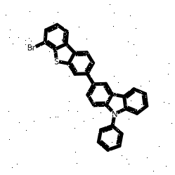 Brc1cccc2c1sc1cc(-c3ccc4c(c3)c3ccccc3n4-c3ccccc3)ccc12